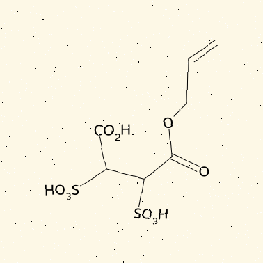 C=CCOC(=O)C(C(C(=O)O)S(=O)(=O)O)S(=O)(=O)O